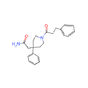 NC(=O)CC1(c2ccccc2)CCN(C(=O)CCc2ccccc2)CC1